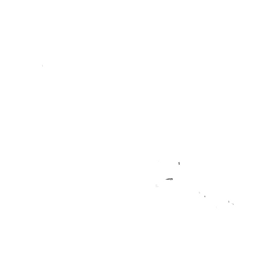 COCC1CCS2(C)C(CCC3C4CC[C@H](C(=O)Cn5ccnc5)C4(C)CCC32)C1